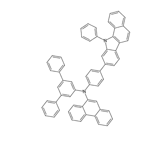 c1ccc(-c2cc(-c3ccccc3)cc(N(c3ccc(-c4ccc5c6ccc7ccccc7c6n(-c6ccccc6)c5c4)cc3)c3cc4ccccc4c4ccccc34)c2)cc1